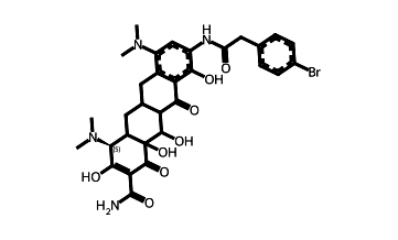 CN(C)c1cc(NC(=O)Cc2ccc(Br)cc2)c(O)c2c1CC1CC3[C@H](N(C)C)C(O)=C(C(N)=O)C(=O)C3(O)C(O)C1C2=O